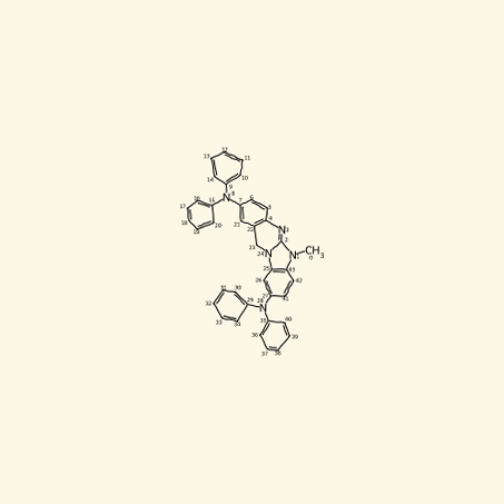 CN1C2=Nc3ccc(N(c4ccccc4)c4ccccc4)cc3CN2c2cc(N(c3ccccc3)c3ccccc3)ccc21